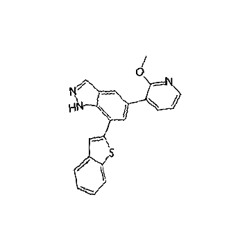 COc1ncccc1-c1cc(-c2cc3ccccc3s2)c2[nH]ncc2c1